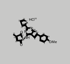 COc1ccc(-c2cc3c(NN4C(=O)C=C(C)C4=O)nc(-c4cccs4)nc3s2)cc1.Cl